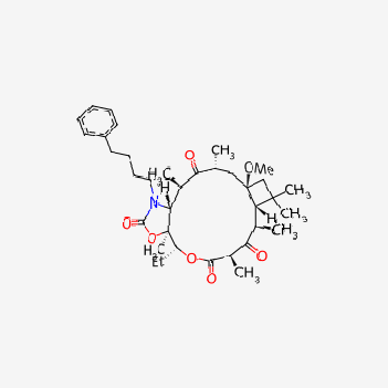 CC[C@H]1OC(=O)[C@H](C)C(=O)[C@H](C)[C@H]2C(C)(C)C[C@@]2(OC)C[C@@H](C)C(=O)[C@H](C)[C@H]2N(CCCCc3ccccc3)C(=O)O[C@]12C